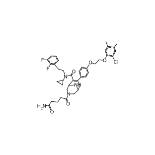 Cc1cc(Cl)c(OCCOc2ccc(C3=C(C(=O)N(CCc4cccc(F)c4F)C4CC4)C4CN(C(=O)CCCC(N)=O)CC(C3)N4)cc2)cc1C